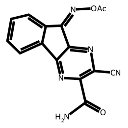 CC(=O)ON=C1c2ccccc2-c2nc(C(N)=O)c(C#N)nc21